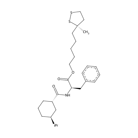 CC(C)[C@H]1CCC[C@H](C(=O)N[C@H](Cc2ccccc2)C(=O)OCCCCC[C@]2(C)CCSS2)C1